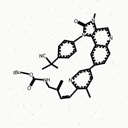 C=C(/C=C\c1ncc(-c2ccc3ncc4c(c3c2)n(-c2ccc(C(C)(C)C#N)cc2)c(=O)n4C)cc1C)CNC(=O)OC(C)(C)C